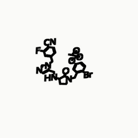 CS(=O)(=O)Oc1ccc(Br)c(CN2CCC(NCc3cncn3Cc3ccc(C#N)c(F)c3)C2=O)c1